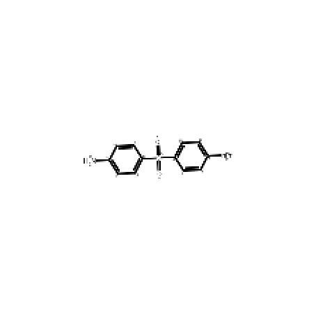 CCCc1ccc(S(=O)(=O)c2ccc(N)cc2)cc1